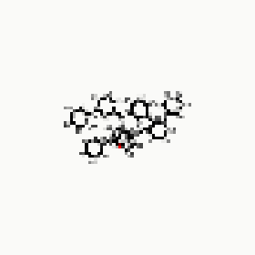 c1ccc(-c2cccc(N(c3cccc(-c4ccccc4)c3)c3cccc4c5c(-c6ccccc6)cccc5n(-c5ccccc5)c34)c2)cc1